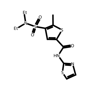 CCN(CC)S(=O)(=O)c1cc(C(=O)Nc2nccs2)sc1C